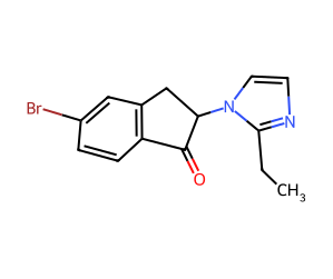 CCc1nccn1C1Cc2cc(Br)ccc2C1=O